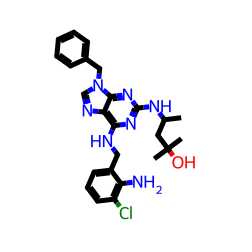 CC(CC(C)(C)O)Nc1nc(NCc2cccc(Cl)c2N)c2ncn(Cc3ccccc3)c2n1